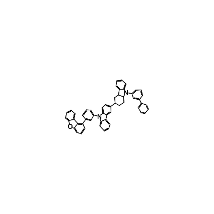 c1ccc(-c2cccc(N3c4ccccc4C4CC(c5ccc6c(c5)c5ccccc5n6-c5cccc(-c6cccc7oc8ccccc8c67)c5)CCC43)c2)cc1